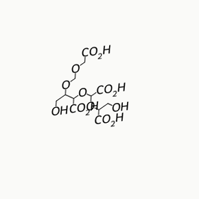 O=C(O)COCOC(CO)C(OC(OC(CO)C(=O)O)C(=O)O)C(=O)O